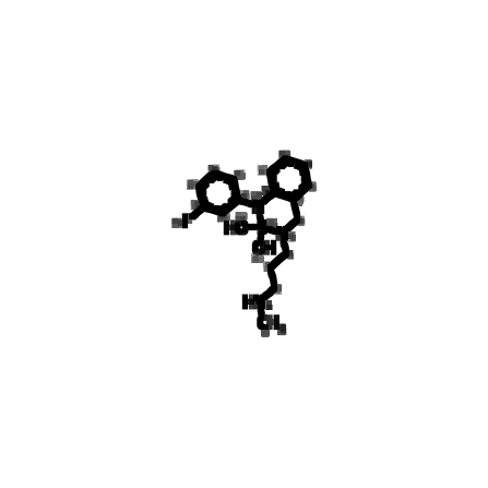 CNCCCN1Cc2ccccc2N(c2cccc(F)c2)S1(O)O